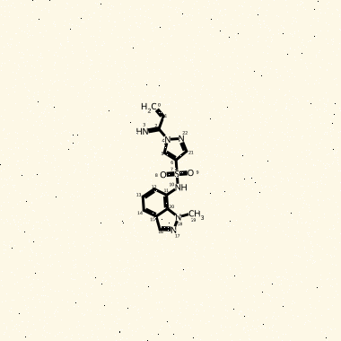 C=CC(=N)n1cc(S(=O)(=O)Nc2cccc3cnn(C)c23)cn1